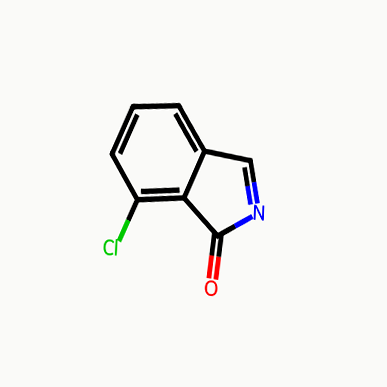 O=C1N=Cc2cccc(Cl)c21